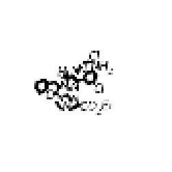 CCOC(=O)c1cn2c(n1)CN(C(=O)C(Cc1ccccc1)n1cnc(-c3cc(Cl)ccc3N(N)/C=C(\N)Cl)cc1=O)CC2